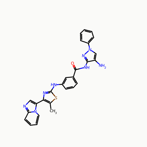 Cc1sc(Nc2cccc(C(=O)Nc3nn(-c4ccccc4)cc3N)c2)nc1-c1cnc2ccccn12